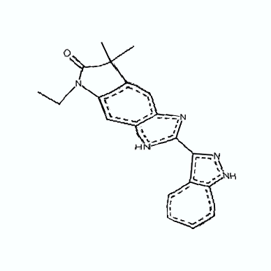 CCN1C(=O)C(C)(C)c2cc3nc(-c4n[nH]c5ccccc45)[nH]c3cc21